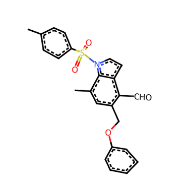 Cc1ccc(S(=O)(=O)n2ccc3c(C=O)c(COc4ccccc4)cc(C)c32)cc1